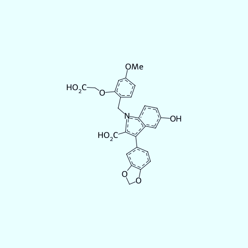 COc1ccc(Cn2c(C(=O)O)c(-c3ccc4c(c3)OCO4)c3cc(O)ccc32)c(OCC(=O)O)c1